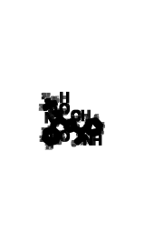 Cc1[nH]c2ccccc2c1C1C(O)C(c2c(-c3ccccc3)nn(C(C)(C)C)c2O)C1O